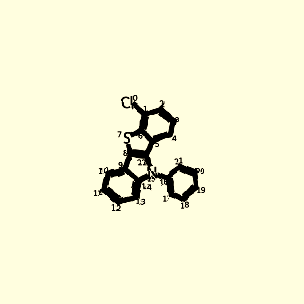 Clc1cccc2c1sc1c3ccccc3n(-c3ccccc3)c21